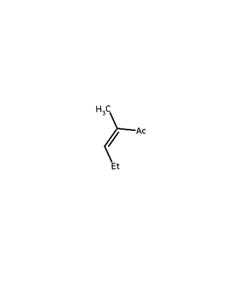 CC/C=C(/C)C(C)=O